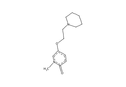 Cn1cc(OCCN2CCCCC2)ccc1=O